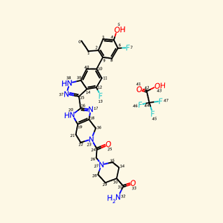 CCc1cc(O)c(F)cc1-c1cc(F)c2c(-c3nc4c([nH]3)CCN(C(=O)CN3CCC(C(N)=O)CC3)C4)n[nH]c2c1.O=C(O)C(F)(F)F